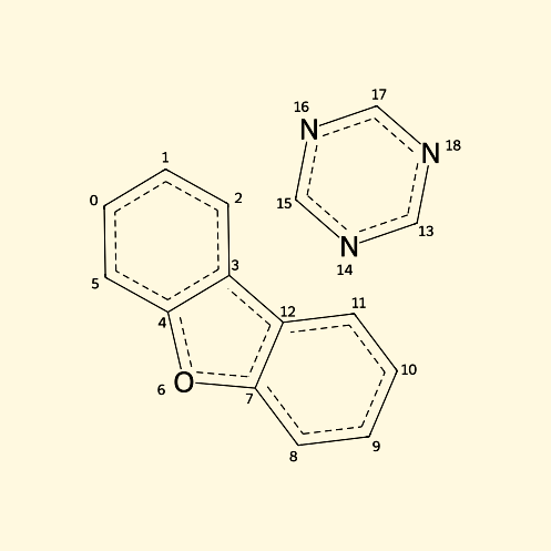 c1ccc2c(c1)oc1ccccc12.c1ncncn1